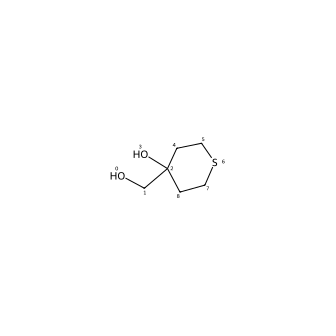 OCC1(O)CCSCC1